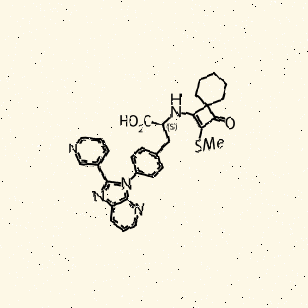 CSC1=C(N[C@@H](Cc2ccc(-n3c(-c4cccnc4)nc4cccnc43)cc2)C(=O)O)C2(CCCCC2)C1=O